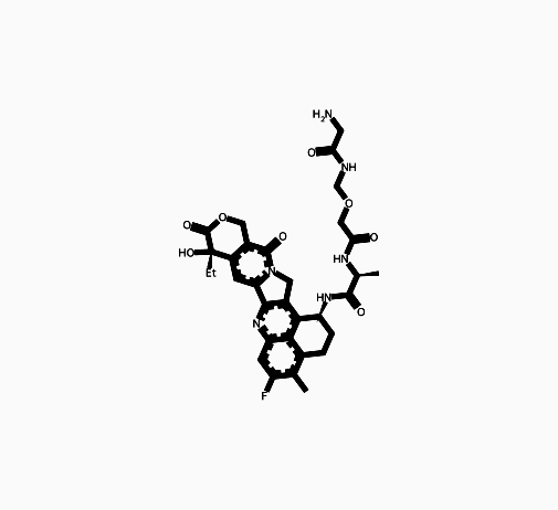 CC[C@@]1(O)C(=O)OCc2c1cc1n(c2=O)Cc2c-1nc1cc(F)c(C)c3c1c2[C@@H](NC(=O)[C@H](C)NC(=O)COCNC(=O)CN)CC3